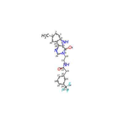 Cc1ccc2[nH]c3c(=O)n(CCNC(=O)Cc4cccc(C(F)(F)F)c4)cnc3c2c1